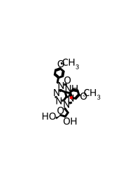 COc1ccc(CN2C(=O)NC3(c4ccc(OC)cc4)C2=NC=NC2C3N=CN2[C@H]2CC(O)[C@@H](CO)O2)cc1